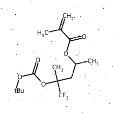 C=C(C)C(=O)OC(C)CC(C)(OC(=O)OC(C)(C)C)C(F)(F)F